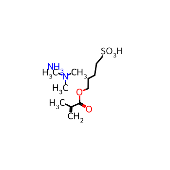 C=C(C)C(=O)OCCCCCS(=O)(=O)O.CN(C)C.N